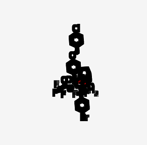 NC1CC2CCC(C1)N2C(=O)[C@H](N(OC(=O)C(F)(F)F)S(=O)(=O)c1ccc(OCc2ccc(Cl)cc2)cc1)C(F)(F)c1ccc(Br)cc1